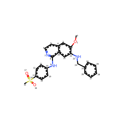 COc1cc2ccnc(Nc3ccc(S(C)(=O)=O)cc3)c2cc1NCc1ccccc1